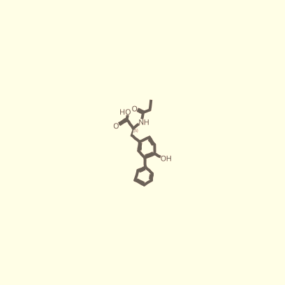 CCC(=O)N[C@@H](Cc1ccc(O)c(-c2ccccc2)c1)C(=O)O